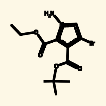 CCOC(=O)c1c(C(=O)OC(C)(C)C)c(Br)cn1N